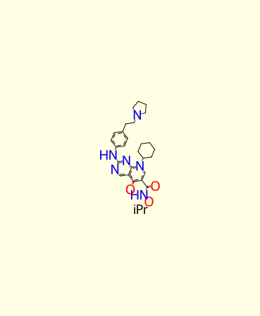 CC(C)ONC(=O)c1cn(C2CCCCC2)c2nc(Nc3ccc(CCN4CCCC4)cc3)ncc2c1=O